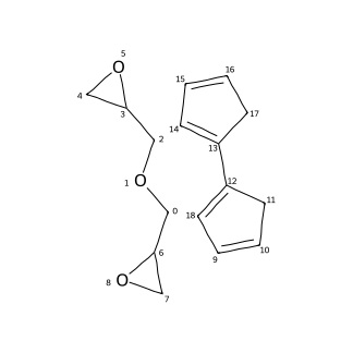 C(OCC1CO1)C1CO1.C1=CCC(C2=CC=CC2)=C1